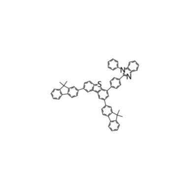 CC1(C)c2ccccc2-c2ccc(-c3ccc4sc5c(-c6ccc(-c7nc8ccccc8n7-c7ccccc7)cc6)cc(-c6ccc7c(c6)C(C)(C)c6ccccc6-7)cc5c4c3)cc21